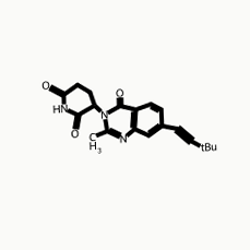 Cc1nc2cc(C#CC(C)(C)C)ccc2c(=O)n1C1CCC(=O)NC1=O